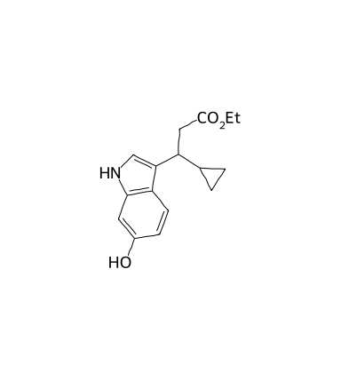 CCOC(=O)CC(c1c[nH]c2cc(O)ccc12)C1CC1